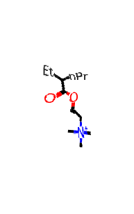 CCCC(CC)C(=O)OCC[N+](C)(C)C